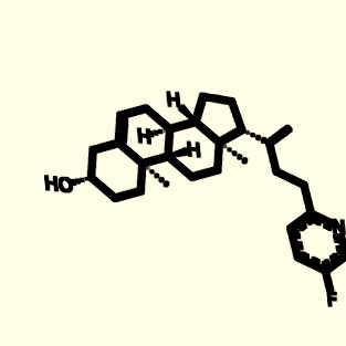 CC(CCc1ccc(F)cn1)[C@H]1CC[C@H]2[C@@H]3CC=C4C[C@@H](O)CC[C@]4(C)[C@H]3CC[C@]12C